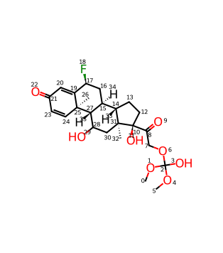 COC(O)(OC)OCC(=O)[C@@]1(O)CC[C@H]2[C@@H]3C[C@H](F)C4=CC(=O)C=C[C@]4(C)[C@H]3C(O)C[C@@]21C